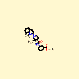 COC(=O)C1CCCC(NC(=O)[C@H]2CCN(c3ccc4cccc(C)c4n3)CC2(C)C)C1